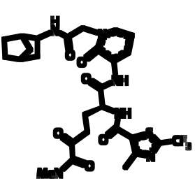 CNC(=O)C(=O)CC[C@H](NC(=O)c1sc(C(F)(F)F)nc1C)C(=O)Nc1cccn(CC(=O)NC2CC3CCC2C3)c1=O